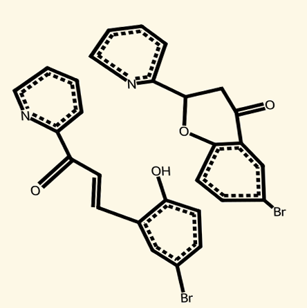 O=C(C=Cc1cc(Br)ccc1O)c1ccccn1.O=C1CC(c2ccccn2)Oc2ccc(Br)cc21